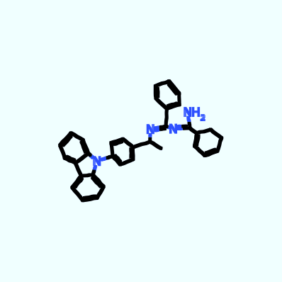 CC(/N=C(\N=C(/N)C1=CC=CCC1)c1ccccc1)c1ccc(-n2c3ccccc3c3ccccc32)cc1